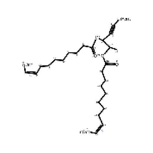 CCCCCC#CC(OC(=O)CCCCCCC/C=C\CCCCCCCC)C(C)OC(=O)CCCCCCC/C=C\CCCCCCCC